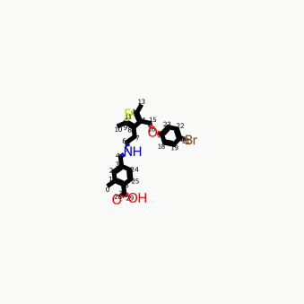 Cc1cc(CNCCc2c(C)sc(C)c2COc2ccc(Br)cc2)ccc1C(=O)O